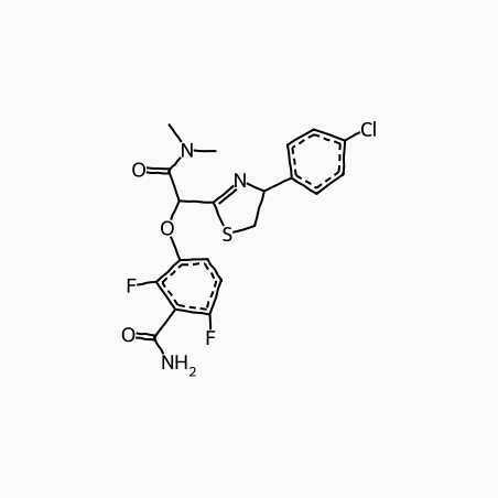 CN(C)C(=O)C(Oc1ccc(F)c(C(N)=O)c1F)C1=NC(c2ccc(Cl)cc2)CS1